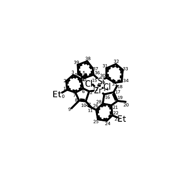 CCc1ccc(C)c2c1C(C)=C(C)[CH]2[Zr]([Cl])([Cl])([CH]1C(C)=C(C)c2c(CC)ccc(C)c21)=[Si](c1ccccc1)c1ccccc1